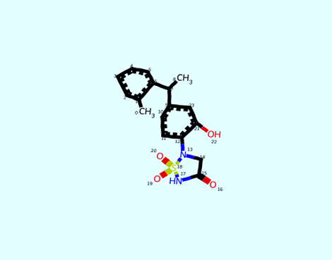 Cc1ccccc1C(C)c1ccc(N2CC(=O)NS2(=O)=O)c(O)c1